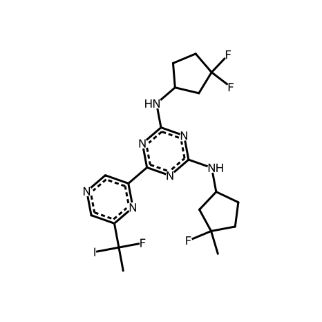 CC1(F)CCC(Nc2nc(NC3CCC(F)(F)C3)nc(-c3cncc(C(C)(F)I)n3)n2)C1